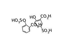 O=C(O)c1cc(S(=O)(=O)O)ccc1O.O=C(O)c1ccccc1OS(=O)(=O)O